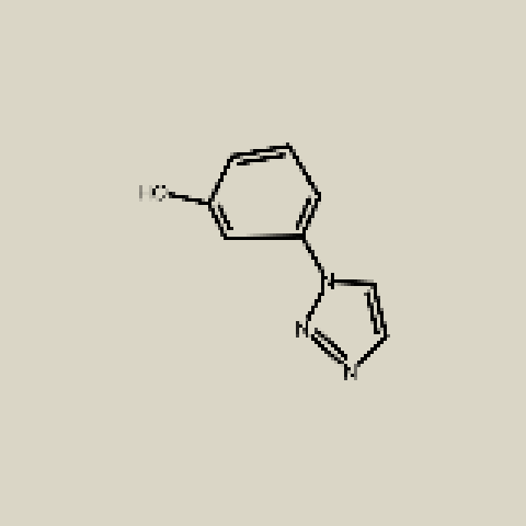 Oc1cccc(-n2ccnn2)c1